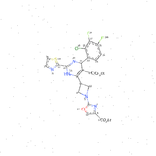 CCOC(=O)C1=C(C2CN(c3nc(C(=O)OCC)co3)C2)NC(c2nccs2)=NC1c1ccc(F)c(F)c1Cl